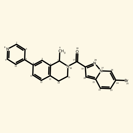 CC1c2cc(-c3ccncc3)ccc2CCN1C(=O)c1cc2ccc(Br)cn2n1